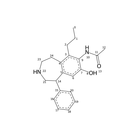 CCCc1c2c(cc(O)c1NC(C)=O)C(c1ccccc1)CNCC2